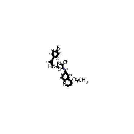 CCOc1ccnc2ccc(/C=C3\SC(NC4CC4c4ccc(F)cc4)=NC3=O)cc12